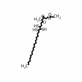 C=CC(=O)OCCC(=O)C(C)C(=O)CCC(S)C(S)C(S)CCCCCCCCCCCCCCCCCCCC